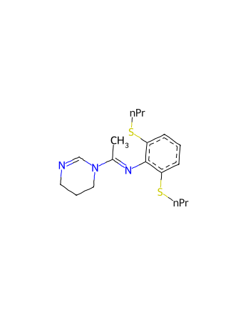 CCCSc1cccc(SCCC)c1/N=C(\C)N1C=NCCC1